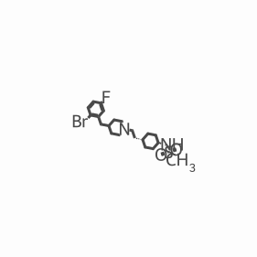 CS(=O)(=O)N[C@H]1CC[C@H](CCN2CCC(Cc3cc(F)ccc3Br)CC2)CC1